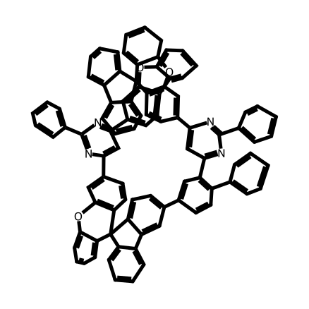 C1=CCC2Oc3cc(-c4cc(-c5cc(-c6ccc7c(c6)-c6ccccc6C76c7ccccc7Oc7cc(-c8cc(-c9ccc%10c(c9)oc9ccccc9%10)nc(-c9ccccc9)n8)ccc76)ccc5-c5ccccc5)nc(-c5ccccc5)n4)ccc3C3(C2=C1)c1ccccc1-c1ccccc13